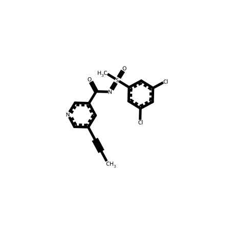 CC#Cc1cncc(C(=O)N=S(C)(=O)c2cc(Cl)cc(Cl)c2)c1